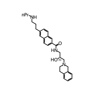 CCCNCCCc1ccc2cc(C(=O)NC[C@H](O)CN3CCc4ccccc4C3)ccc2c1